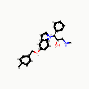 CNC[C@@H](O)[C@H](c1ccccc1)n1ccc2cc(OCc3ccc(C)cc3)ccc21